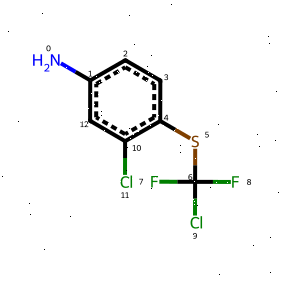 Nc1ccc(SC(F)(F)Cl)c(Cl)c1